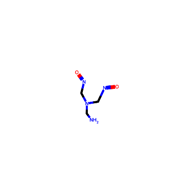 NCN(CN=O)CN=O